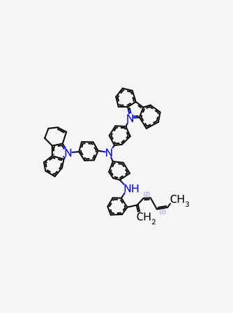 C=C(/C=C\C=C/C)c1ccccc1Nc1ccc(N(c2ccc(-n3c4c(c5ccccc53)CCC=C4)cc2)c2ccc(-n3c4ccccc4c4ccccc43)cc2)cc1